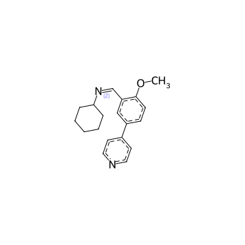 COc1ccc(-c2ccncc2)cc1/C=N\C1CCCCC1